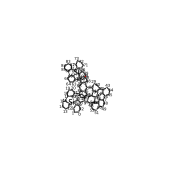 c1ccc([Si]2(c3ccccc3)c3ccccc3-c3cccc(-c4cccc5c(-c6cccc7c6-c6ccccc6C76c7ccccc7-c7ccc8ccccc8c76)c6cccc(-c7cccc8c7[Si](c7ccccc7)(c7ccccc7)c7ccccc7-8)c6cc45)c32)cc1